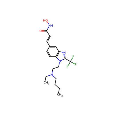 CCCCN(CC)CCn1c(C(F)(F)F)nc2cc(C=CC(=O)NO)ccc21